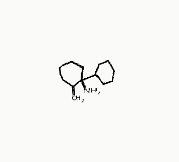 C=C1CCCCC1(N)C1CCCCC1